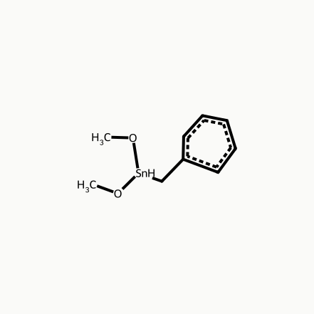 C[O][SnH]([CH2]c1ccccc1)[O]C